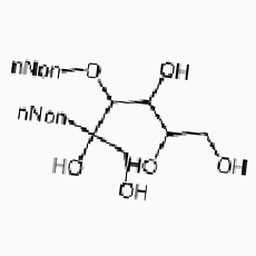 CCCCCCCCCOC(C(O)C(O)CO)C(O)(CO)CCCCCCCCC